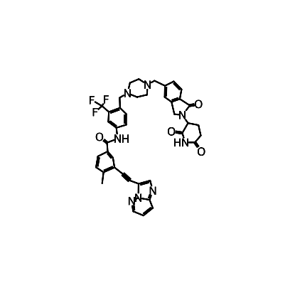 Cc1ccc(C(=O)Nc2ccc(CN3CCN(Cc4ccc5c(c4)CN(C4CCC(=O)NC4=O)C5=O)CC3)c(C(F)(F)F)c2)cc1C#Cc1cnc2cccnn12